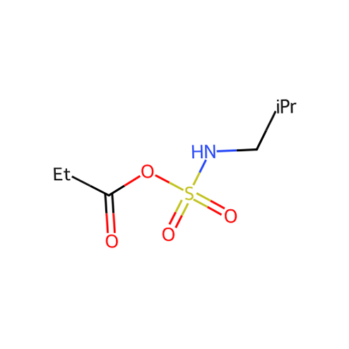 CCC(=O)OS(=O)(=O)NCC(C)C